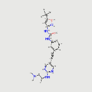 CC(CN(C)C)Nc1ncc(C#Cc2cccc(NC(=O)Nc3cc(C(C)(C)C)on3)c2)cn1